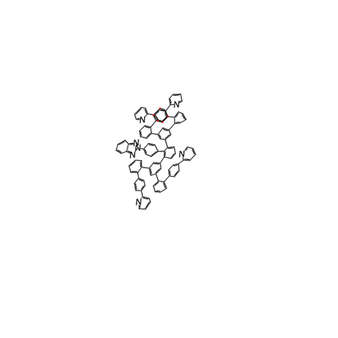 c1ccc(-c2ccc(-c3ccccc3-c3cc(-c4ccccc4-c4ccc(-c5ccccn5)cc4)cc(-c4cccc(-c5cc(-c6ccccc6-c6ccc(-c7ccccn7)cc6)cc(-c6ccccc6-c6ccc(-c7ccccn7)cc6)c5)c4-c4ccc(-n5nc6ccccc6n5)cc4)c3)cc2)nc1